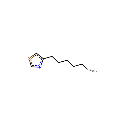 CCCCCCCCCCc1cs[c]n1